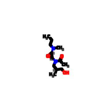 CCCN(C)[C@H]1O[C@@H]1N(C[C@H](C)CO)C(C)=O